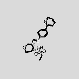 CCS(=O)(=O)N[C@@H]1CCOC[C@H]1COc1ccc(-c2ccccn2)cc1